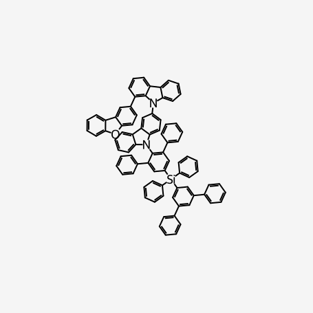 c1ccc(-c2cc(-c3ccccc3)cc([Si](c3ccccc3)(c3ccccc3)c3cc(-c4ccccc4)c(-n4c5ccccc5c5cc(-n6c7ccccc7c7cccc(-c8ccc9oc%10ccccc%10c9c8)c76)ccc54)c(-c4ccccc4)c3)c2)cc1